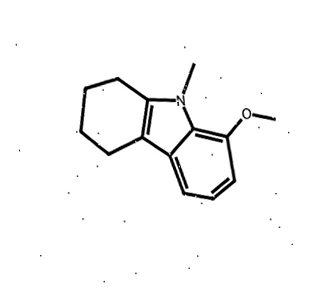 COc1cccc2c3c(n(C)c12)CC[CH]C3